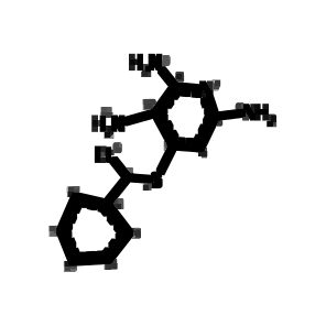 CCC(Sc1cc(N)nc(N)c1N)c1ccccc1